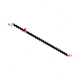 CCCCCCCCCCCC(=O)OCCCCCCCCCCCCCCCCCCCCCCCCCCCCCCCCCCCCCCCCO